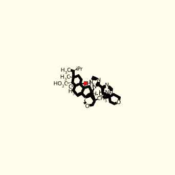 CC(C)[C@@H](C)[C@@]1(C)CC[C@]2(C)[C@H]3CC[C@@H]4[C@@]5(COC[C@@]4(C)[C@@H](OCC4(N)CCOCC4)[C@H](n4ncnc4-c4ccncn4)C5)C3=CC[C@@]2(C)[C@@H]1C(=O)O